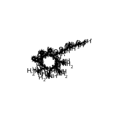 N=C(N)NCCCC1NC(=O)C(CCCNC(=N)N)NC(=O)C(Cc2ccc3ccccc3c2)NC(=O)C(Cc2ccccc2)NC(O)C(Cc2ccccc2)NC(=O)C(CCC(=O)NCCC(=O)NCCC(=O)NC(CCCCNC(=O)CCSS)C(N)=O)NC(=O)C(CCCNC(=N)N)NC(=O)C(CCCNC(=N)N)NC1=O